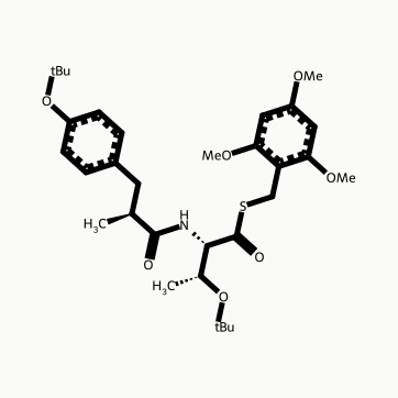 COc1cc(OC)c(CSC(=O)[C@@H](NC(=O)[C@@H](C)Cc2ccc(OC(C)(C)C)cc2)[C@@H](C)OC(C)(C)C)c(OC)c1